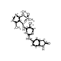 Cc1ncnc(N(C)S(C)(=O)=O)c1CNc1nc(Nc2ccc3c(c2)CC(=O)N3)ncc1C(F)(F)F